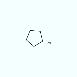 C1CCCC1.[C]